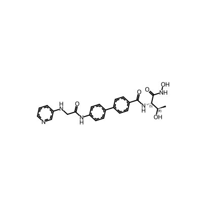 C[C@@H](O)[C@H](NC(=O)c1ccc(-c2ccc(NC(=O)CNc3cccnc3)cc2)cc1)C(=O)NO